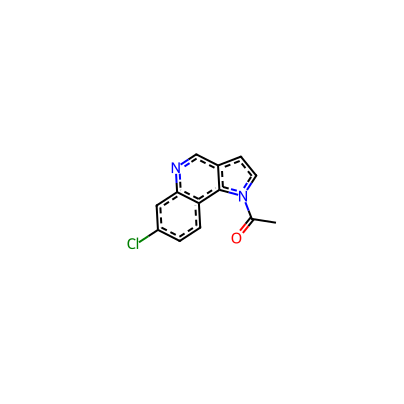 CC(=O)n1ccc2cnc3cc(Cl)ccc3c21